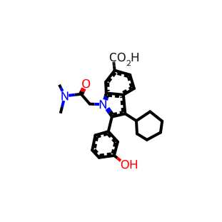 CN(C)C(=O)Cn1c(-c2cccc(O)c2)c(C2CCCCC2)c2ccc(C(=O)O)cc21